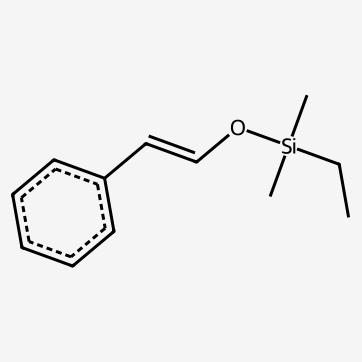 CC[Si](C)(C)OC=Cc1ccccc1